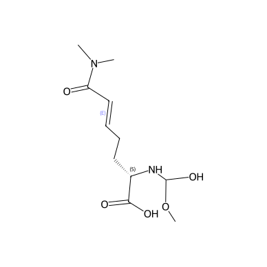 COC(O)N[C@@H](CC/C=C/C(=O)N(C)C)C(=O)O